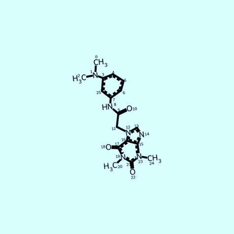 CN(C)c1cccc(NC(=O)Cn2cnc3c2c(=O)n(C)c(=O)n3C)c1